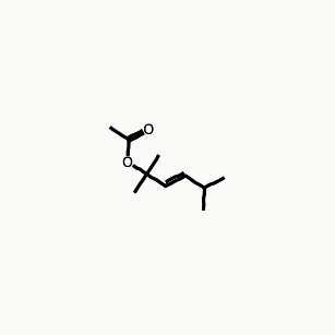 CC(=O)OC(C)(C)C=CC(C)C